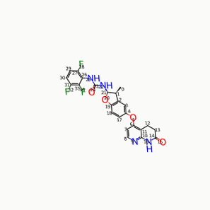 C[C@H]1c2cc(Oc3ccnc4c3CCC(=O)N4)ccc2O[C@H]1NC(=O)Nc1c(F)ccc(F)c1F